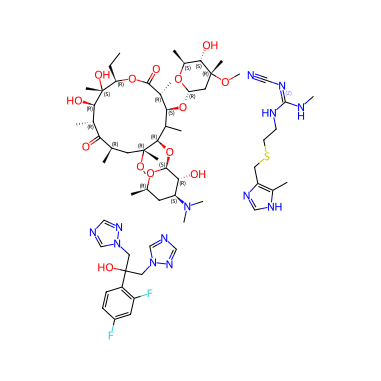 CC[C@H]1OC(=O)[C@H](C)[C@@H](O[C@H]2C[C@@](C)(OC)[C@@H](O)[C@H](C)O2)C(C)[C@@H](O[C@@H]2O[C@H](C)C[C@H](N(C)C)[C@H]2O)[C@](C)(OC)C[C@@H](C)C(=O)[C@H](C)[C@@H](O)[C@]1(C)O.CN/C(=N/C#N)NCCSCc1nc[nH]c1C.OC(Cn1cncn1)(Cn1cncn1)c1ccc(F)cc1F